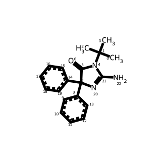 CC(C)(C)N1C(=O)C(c2ccccc2)(c2ccccc2)N=C1N